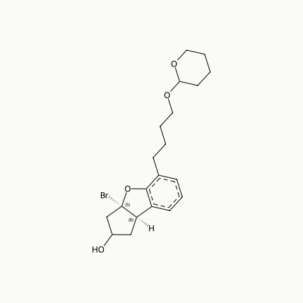 OC1C[C@@H]2c3cccc(CCCCOC4CCCCO4)c3O[C@]2(Br)C1